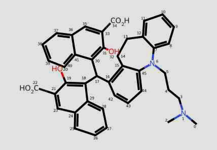 CN(C)CCCN1c2ccccc2CCc2c(C(c3c(O)c(C(=O)O)cc4ccccc34)c3c(O)c(C(=O)O)cc4ccccc34)cccc21